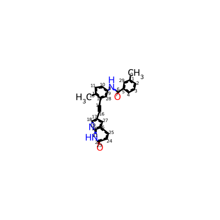 Cc1cccc(C(=O)Nc2ccc(C)c(C#Cc3cnc4[nH]c(=O)ccc4c3)c2)c1